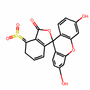 O=C1OC2(C3=C1C(=S(=O)=O)CC=C3)c1ccc(O)cc1Oc1cc(O)ccc12